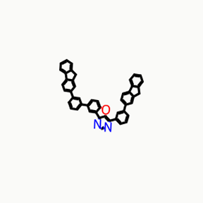 c1cc(-c2ccc3c(c2)Cc2ccccc2-3)cc(-c2ccc3oc4c(-c5cccc(-c6ccc7c(c6)Cc6ccccc6-7)c5)ncnc4c3c2)c1